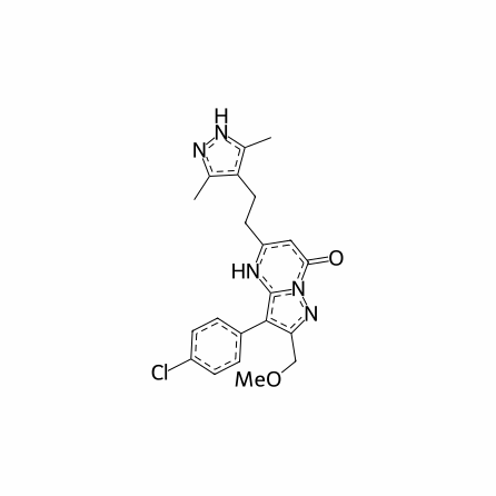 COCc1nn2c(=O)cc(CCc3c(C)n[nH]c3C)[nH]c2c1-c1ccc(Cl)cc1